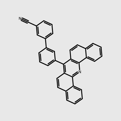 N#Cc1cccc(-c2cccc(-c3c4ccc5ccccc5c4nc4c3ccc3ccccc34)c2)c1